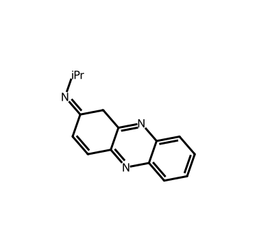 CC(C)N=C1C=Cc2nc3ccccc3nc2C1